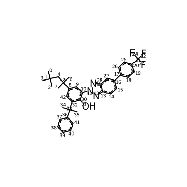 CC(C)(C)CC(C)(C)c1cc(-n2nc3ccc(-c4ccc(C(F)(F)F)cc4)cc3n2)c(O)c(C(C)(C)c2ccccc2)c1